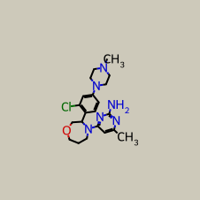 Cc1cc(N2CCCOCC2c2ccc(N3CCN(C)CC3)cc2Cl)nc(N)n1